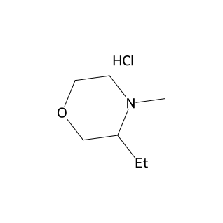 CCC1COCCN1C.Cl